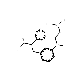 CCC[C@H](C(=O)O)[C@H](Cc1cccc(N(C)CCN(C)C)c1)c1nn[nH]n1